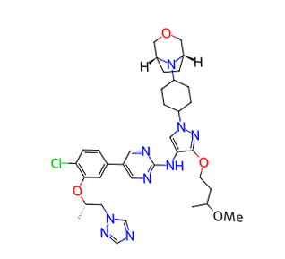 COC(C)CCOc1nn(C2CCC(N3[C@@H]4CC[C@H]3COC4)CC2)cc1Nc1ncc(-c2ccc(Cl)c(O[C@@H](C)Cn3cncn3)c2)cn1